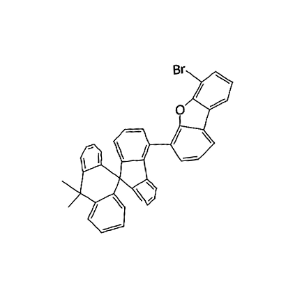 CC1(C)c2ccccc2C2(c3ccccc3-c3c(-c4cccc5c4oc4c(Br)cccc45)cccc32)c2ccccc21